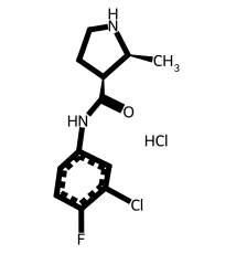 C[C@@H]1NCC[C@@H]1C(=O)Nc1ccc(F)c(Cl)c1.Cl